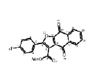 COC(=O)c1c(-c2ccc(F)cc2)oc2c1C(=O)c1ccccc1C2=O